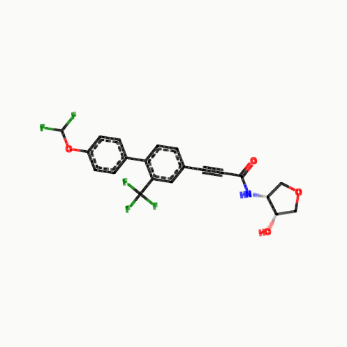 O=C(C#Cc1ccc(-c2ccc(OC(F)F)cc2)c(C(F)(F)F)c1)N[C@@H]1COC[C@@H]1O